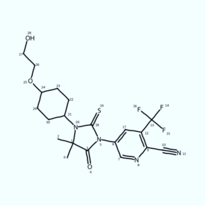 CC1(C)C(=O)N(c2cnc(C#N)c(C(F)(F)F)c2)C(=S)N1C1CCC(OCCO)CC1